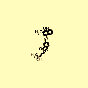 Cc1cc(N=Nc2ccc3sn(CCCN(C)C)c(=O)c3c2)c2ccccc2c1O